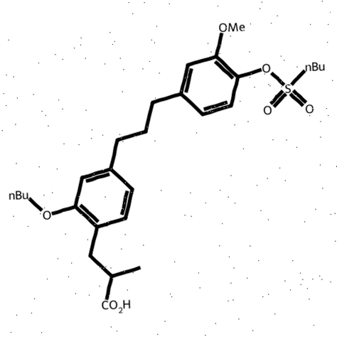 CCCCOc1cc(CCCc2ccc(OS(=O)(=O)CCCC)c(OC)c2)ccc1CC(C)C(=O)O